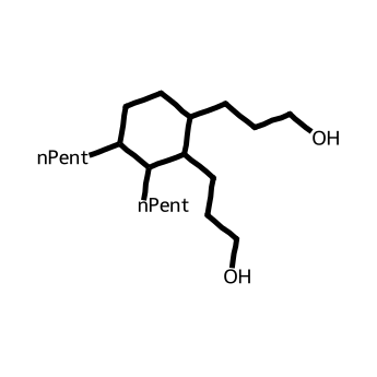 CCCCCC1CCC(CCCO)C(CCCO)C1CCCCC